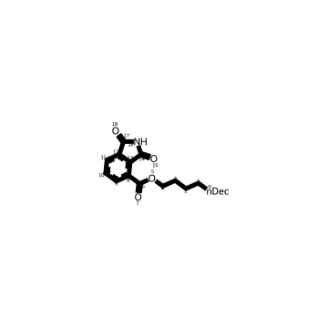 CCCCCCCCCCCCCCOC(=O)c1cccc2c1C(=O)NC2=O